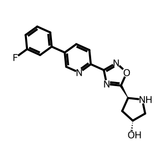 O[C@H]1CN[C@H](c2nc(-c3ccc(-c4cccc(F)c4)cn3)no2)C1